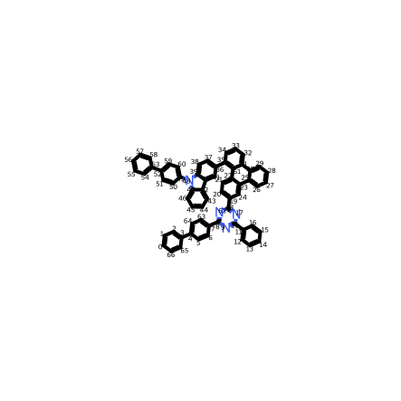 c1ccc(-c2ccc(-c3nc(-c4ccccc4)nc(-c4ccc5c(c4)c4ccccc4c4cccc(-c6ccc7c(c6)c6ccccc6n7-c6ccc(-c7ccccc7)cc6)c45)n3)cc2)cc1